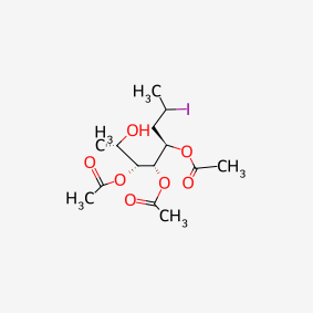 CC(=O)O[C@H]([C@H](OC(C)=O)[C@H](C)O)[C@@H](CC(C)I)OC(C)=O